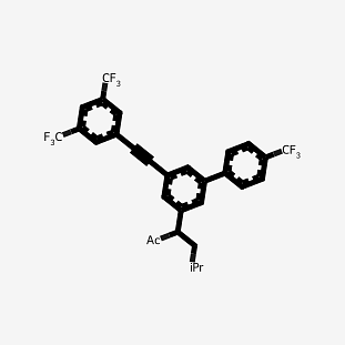 CC(=O)C(CC(C)C)c1cc(C#Cc2cc(C(F)(F)F)cc(C(F)(F)F)c2)cc(-c2ccc(C(F)(F)F)cc2)c1